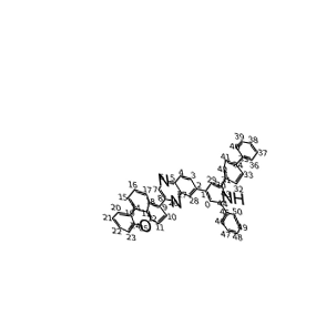 C1=C(c2ccc3ncc(-c4ccc5c6c(cccc46)-c4ccccc4O5)nc3c2)C=C(c2ccc(-c3ccccc3)cc2)NC1c1ccccc1